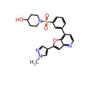 Cn1cc(-c2cc3nccc(-c4cccc(S(=O)(=O)N5CCC(O)CC5)c4)c3o2)cn1